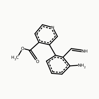 COC(=O)c1ccncc1-c1cccc(N)c1C=N